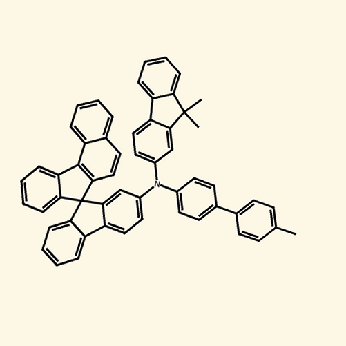 Cc1ccc(-c2ccc(N(c3ccc4c(c3)C(C)(C)c3ccccc3-4)c3ccc4c(c3)C3(c5ccccc5-4)c4ccccc4-c4c3ccc3ccccc43)cc2)cc1